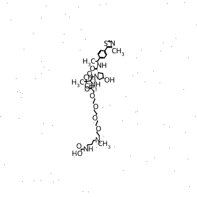 Cc1ncsc1-c1ccc(C(C)NC(=O)[C@@H]2C[C@@H](O)CN2C(=O)C(NC(=O)COCCOCCOCCOCCN(C)CCCNC(=O)O)C(C)(C)C)cc1